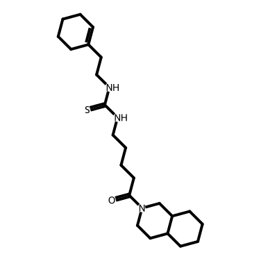 O=C(CCCCNC(=S)NCCC1=CCCCC1)N1CCC2CCCCC2C1